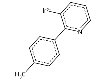 Cc1ccc(-c2nccc[c]2[Ir+2])cc1